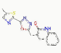 Cc1cnc(-c2nnc(Cc3cc4ccccc4[nH]c3=O)o2)s1